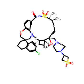 CO[C@@]1(CN2CCN(C3CS(=O)(=O)C3)CC2)/C=C/C[C@H](C)[C@@H](C)S(=O)(=O)NC(=O)c2ccc3c(c2)N(C[C@@H]2CC[C@H]21)C[C@@]1(CCCc2cc(Cl)ccc21)CO3